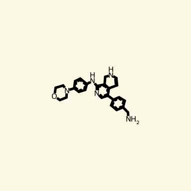 NCc1ccc(-c2cnc(Nc3ccc(N4CCOCC4)cc3)c3c2C=CNC3)cc1